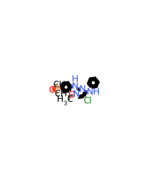 COc1cc(P(C)(C)=O)ccc1Nc1ncc(Cl)c(Nc2ccccc2)n1